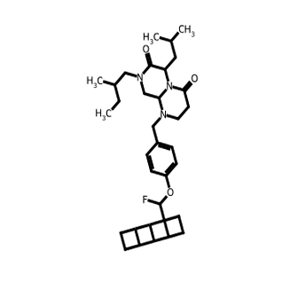 CCC(C)CN1CC2N(Cc3ccc(OC(F)C45CCC4C4C6CCC6C45)cc3)CCC(=O)N2C(CC(C)C)C1=O